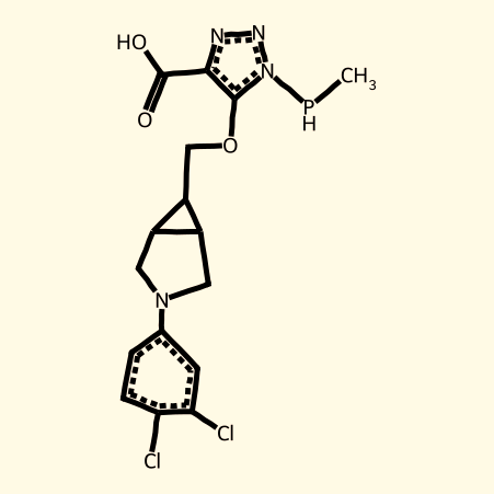 CPn1nnc(C(=O)O)c1OCC1C2CN(c3ccc(Cl)c(Cl)c3)CC12